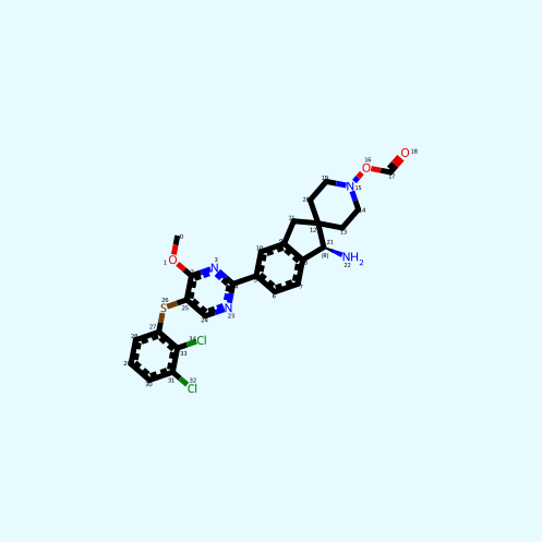 COc1nc(-c2ccc3c(c2)CC2(CCN(OC=O)CC2)[C@H]3N)ncc1Sc1cccc(Cl)c1Cl